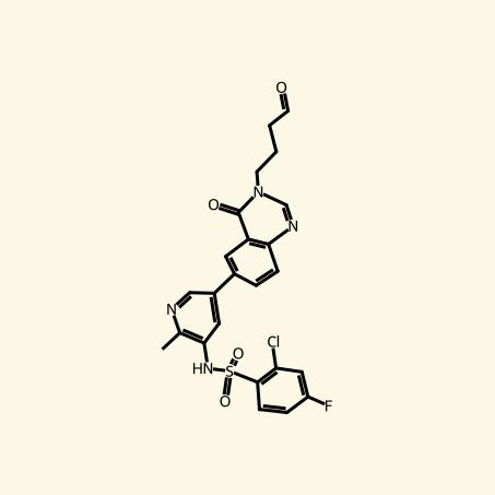 Cc1ncc(-c2ccc3ncn(CCCC=O)c(=O)c3c2)cc1NS(=O)(=O)c1ccc(F)cc1Cl